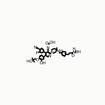 CC(C)(O)COc1ccc(-c2cnc(N3CCC(C)(NCc4ccc(/C=C/C(=O)NO)cc4)CC3)c(C#N)c2-c2ccc(C#N)c(F)c2)cc1O.O=CO